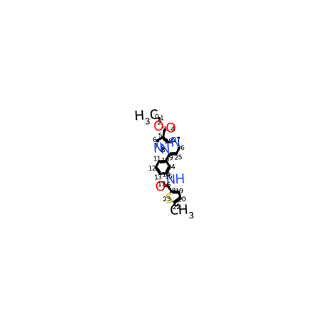 CCOC(=O)c1cnn2c(-c3cccc(NC(=O)c4ccc(C)s4)c3)ccnc12